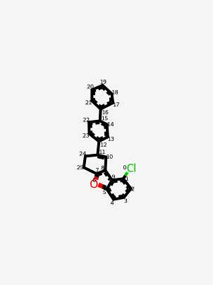 Clc1cccc2oc3c(c12)C=C(c1ccc(-c2ccccc2)cc1)CC3